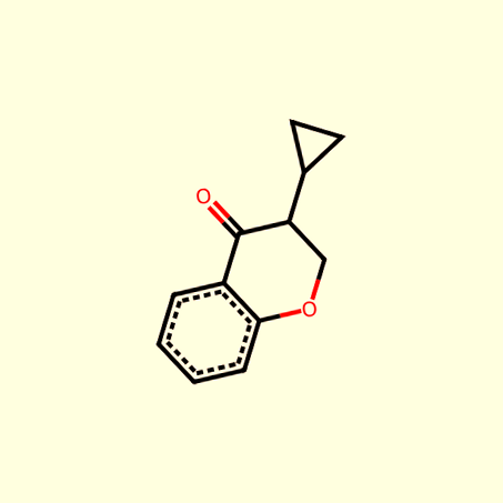 O=C1c2ccccc2OCC1C1CC1